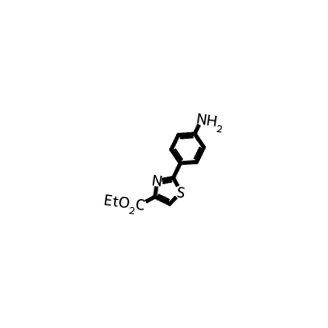 CCOC(=O)c1csc(-c2ccc(N)cc2)n1